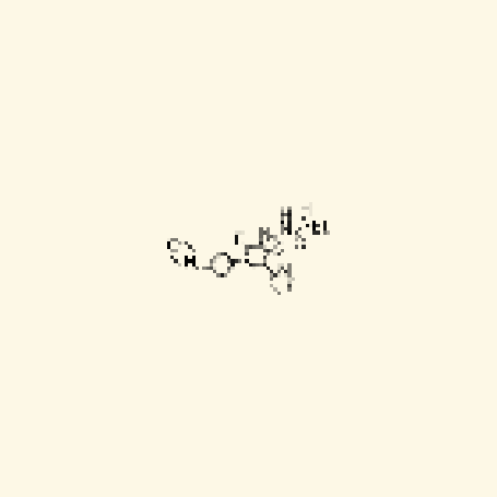 CCNC(=O)Nc1nc2c(F)c(-c3ccc(CN4CCOCC4)cc3)cc(-c3ccccn3)c2s1